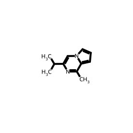 Cc1nc(C(C)C)cn2cccc12